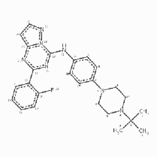 CC(C)(C)N1CCN(c2ccc(Nc3nc(-c4ccccc4F)nc4ccnn34)cc2)CC1